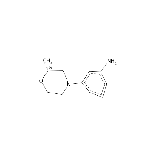 C[C@@H]1CN(c2cccc(N)c2)CCO1